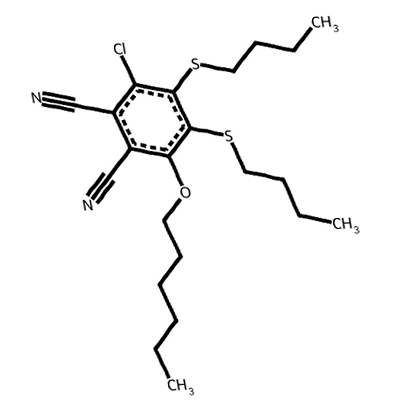 CCCCCCOc1c(C#N)c(C#N)c(Cl)c(SCCCC)c1SCCCC